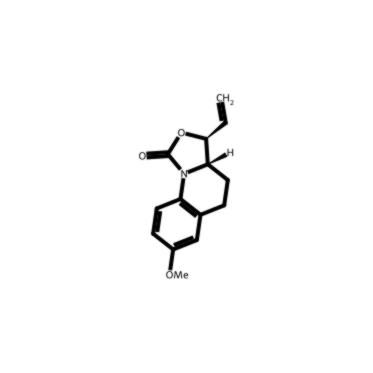 C=C[C@@H]1OC(=O)N2c3ccc(OC)cc3CC[C@@H]12